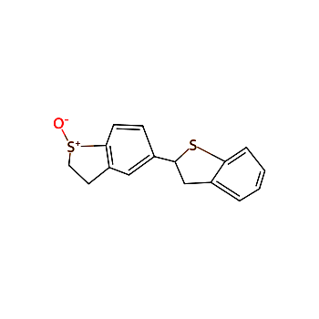 [O-][S+]1CCc2cc(C3Cc4ccccc4S3)ccc21